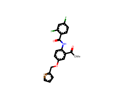 COC(=O)c1cc(OCc2cccs2)ccc1NC(=O)c1ccc(F)cc1F